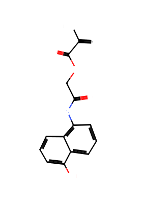 C=C(C)C(=O)OCC(=O)Nc1cccc2c(O)cccc12